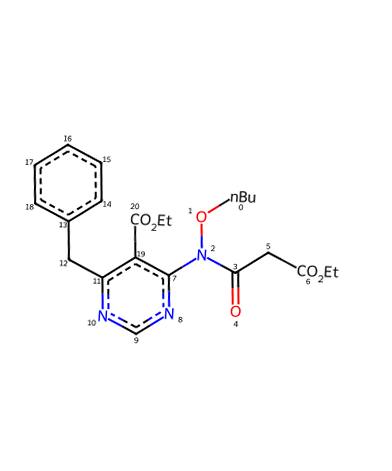 CCCCON(C(=O)CC(=O)OCC)c1ncnc(Cc2ccccc2)c1C(=O)OCC